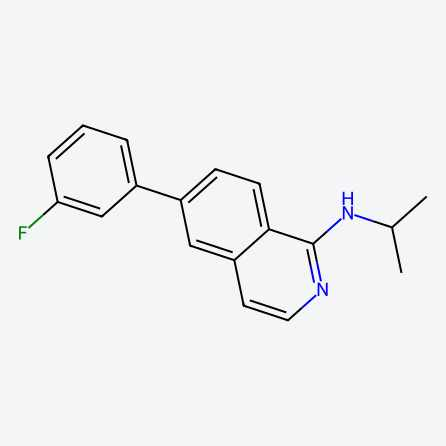 CC(C)Nc1nccc2cc(-c3cccc(F)c3)ccc12